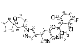 C[C@@H](Oc1cc(-c2cnn(C3CCOC4(CCCC4)C3)c2)cnc1N)c1c(Cl)ccc(F)c1Cl